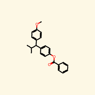 COc1ccc(C(c2ccc(OC(=O)c3ccccc3)cc2)C(C)C)cc1